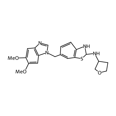 COc1cc2ncn(Cc3ccc4c(c3)SC(NC3CCOC3)N4)c2cc1OC